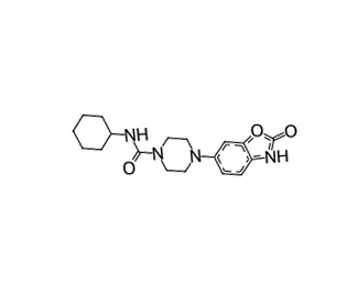 O=C(NC1CCCCC1)N1CCN(c2ccc3[nH]c(=O)oc3c2)CC1